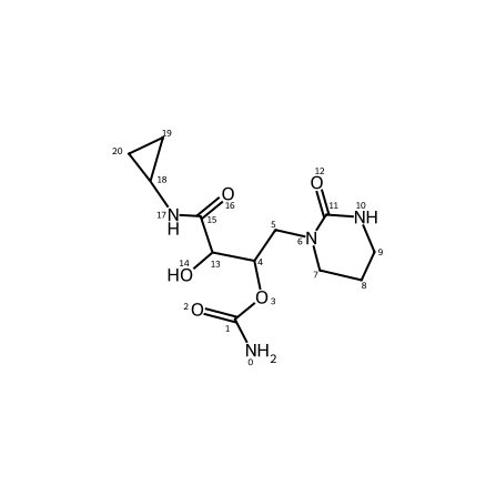 NC(=O)OC(CN1CCCNC1=O)C(O)C(=O)NC1CC1